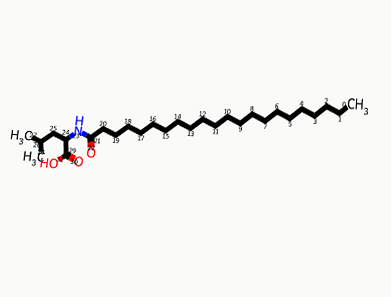 CCCCCCCCCCCCCCCCCCCCCC(=O)NC(CC(C)C)C(=O)O